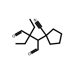 CCC(C=O)(CC)C(C=O)C1(C#N)CCCC1